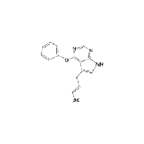 CC(=O)C=CCc1c[nH]c2ncnc(Oc3ccccc3)c12